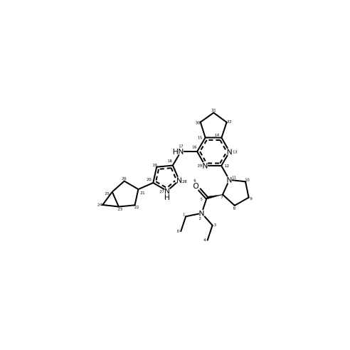 CCN(CC)C(=O)[C@@H]1CCCN1c1nc2c(c(Nc3cc(C4CC5CC5C4)[nH]n3)n1)CCC2